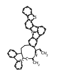 C=C/C1=N/C(=C)CC2C(CCc3cc4c(cc31)c1cccc3c5c6sc7ccccc7c6ccc5n4c13)c1ccccc1-c1cccc[n+]12